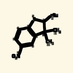 CCCCC1Sc2ccc([N+](=O)[O-])cc2C1(C)C